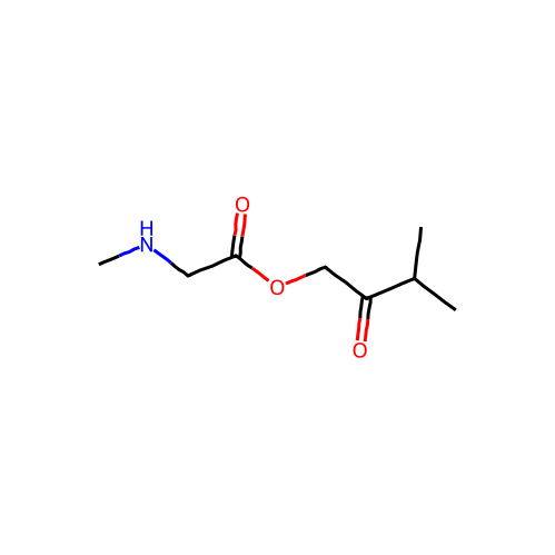 CNCC(=O)OCC(=O)C(C)C